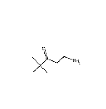 CC(C)(C)C(=O)CCN